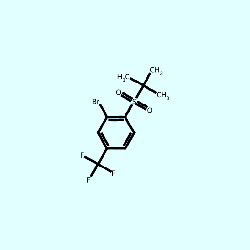 CC(C)(C)S(=O)(=O)c1ccc(C(F)(F)F)cc1Br